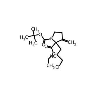 C=C1CCN(C(=O)OC(C)(C)C)C1(CC(O)CCl)C(=O)OCC